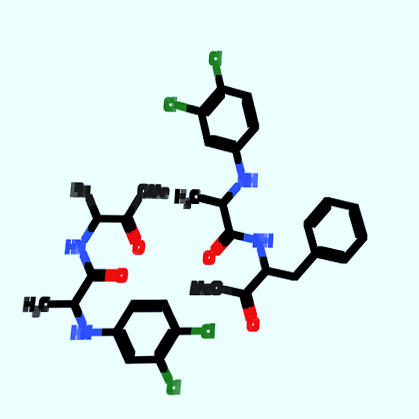 CCC(C)C(NC(=O)C(C)Nc1ccc(Cl)c(Cl)c1)C(=O)OC.COC(=O)C(Cc1ccccc1)NC(=O)C(C)Nc1ccc(Cl)c(Cl)c1